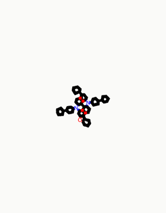 c1ccc(-c2ccc(N(c3ccc(-c4ccccc4)cc3)c3ccccc3-c3ccccc3N(c3ccc(-c4ccccc4)cc3)c3ccc4c(c3)oc3ccccc34)cc2)cc1